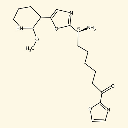 COC1NCCCC1c1cnc([C@@H](N)CCCCCC(=O)c2ncco2)o1